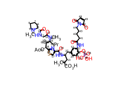 CC[C@H](C)[C@H](NC(=O)[C@H]1CCCCN1C)C(=O)N(C)C(C[C@@H](OC(C)=O)c1nc(C(=O)N[C@@H](Cc2ccc(OP(=O)(O)O)c(NC(=O)CCCCN3C(=O)C=CC3=O)c2)CC(C)C(=O)O)cs1)C(C)C